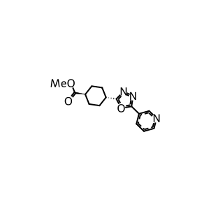 COC(=O)[C@H]1CC[C@H](c2nnc(-c3cccnc3)o2)CC1